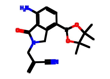 C=C(C#N)CN1Cc2c(B3OC(C)(C)C(C)(C)O3)ccc(N)c2C1=O